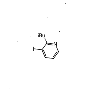 [CH2]C(CC)c1ncccc1I